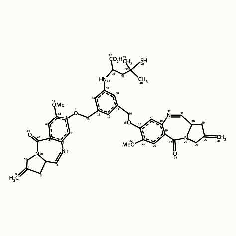 C=C1CC2C=Nc3cc(OCc4cc(COc5cc6c(cc5OC)C(=O)N5CC(=C)CC5C=N6)cc(NC(CC(C)(C)S)C(=O)O)c4)c(OC)cc3C(=O)N2C1